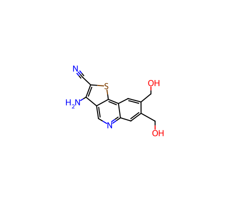 N#Cc1sc2c(cnc3cc(CO)c(CO)cc32)c1N